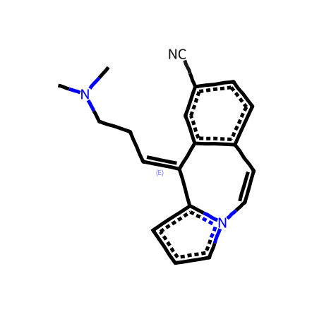 CN(C)CC/C=C1\c2cc(C#N)ccc2C=Cn2cccc21